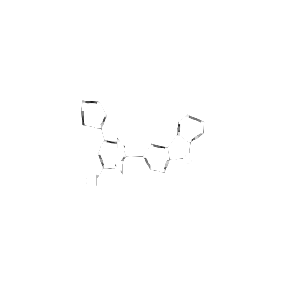 Clc1cc(-c2ccccc2)nc(-c2ccc3sc4ccccc4c3c2)n1